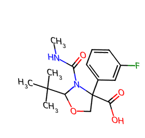 CNC(=O)N1C(C(C)(C)C)OCC1(C(=O)O)c1cccc(F)c1